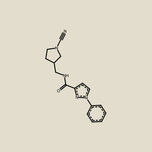 N#CN1CCC(CNC(=O)c2ccn(-c3ccccc3)n2)C1